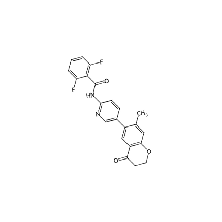 Cc1cc2c(cc1-c1ccc(NC(=O)c3c(F)cccc3F)nc1)C(=O)CCO2